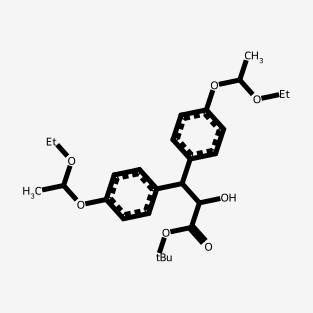 CCOC(C)Oc1ccc(C(c2ccc(OC(C)OCC)cc2)C(O)C(=O)OC(C)(C)C)cc1